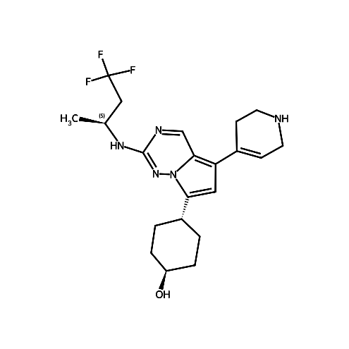 C[C@@H](CC(F)(F)F)Nc1ncc2c(C3=CCNCC3)cc([C@H]3CC[C@H](O)CC3)n2n1